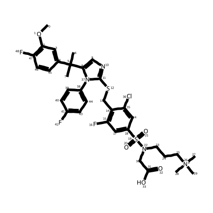 COc1cc(C(C)(C)c2cnc(SCc3c(F)cc(S(=O)(=O)N(CCC[N+](C)(C)C)CC(=O)O)cc3Cl)n2-c2ccc(F)cc2)ccc1F